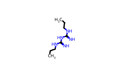 CCCNC(=N)NC(=N)NCCC